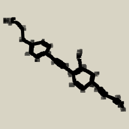 CCCc1ccc(C#Cc2ccc(C#CC#N)cc2F)cc1